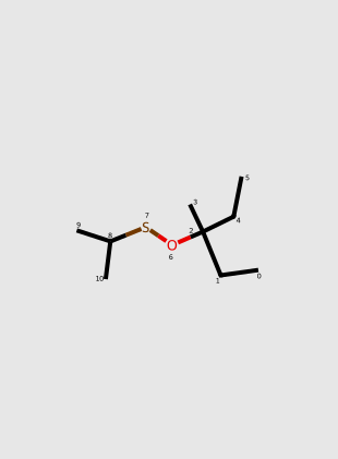 CCC(C)(CC)OSC(C)C